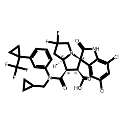 O=C(O)[C@H]1[C@@H](C(=O)N(CC2CC2)c2cccc(C3(C(F)(F)F)CC3)c2)[C@H]2CC(F)(F)CN2[C@]12C(=O)Nc1c(Cl)cc(Cl)cc12